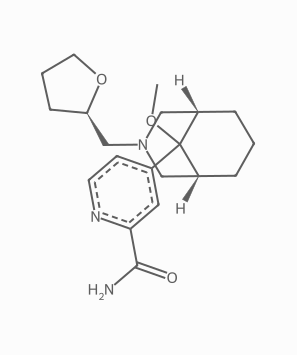 COC1(c2ccnc(C(N)=O)c2)[C@@H]2CCC[C@H]1CN(C[C@H]1CCCO1)C2